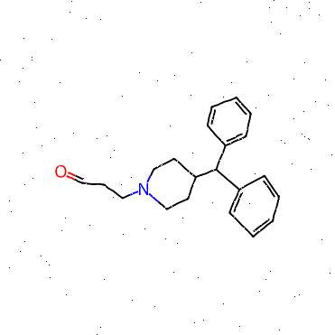 O=CCCN1CCC(C(c2ccccc2)c2ccccc2)CC1